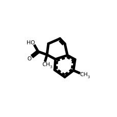 Cc1ccc2c(c1)C=CCC2(C)C(=O)O